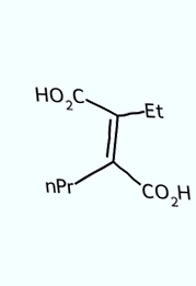 CCCC(C(=O)O)=C(CC)C(=O)O